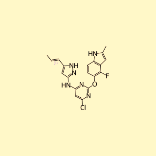 C/C=C/c1cc(Nc2cc(Cl)nc(Oc3ccc4[nH]c(C)cc4c3F)n2)n[nH]1